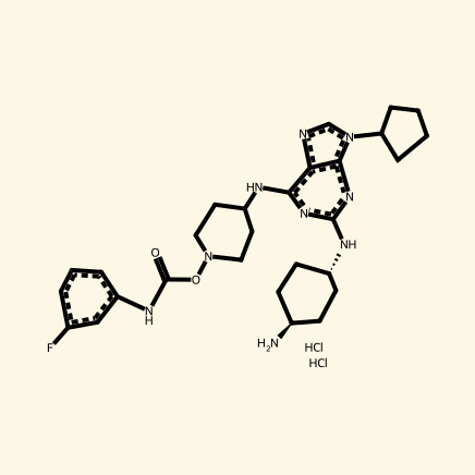 Cl.Cl.N[C@H]1CC[C@H](Nc2nc(NC3CCN(OC(=O)Nc4cccc(F)c4)CC3)c3ncn(C4CCCC4)c3n2)CC1